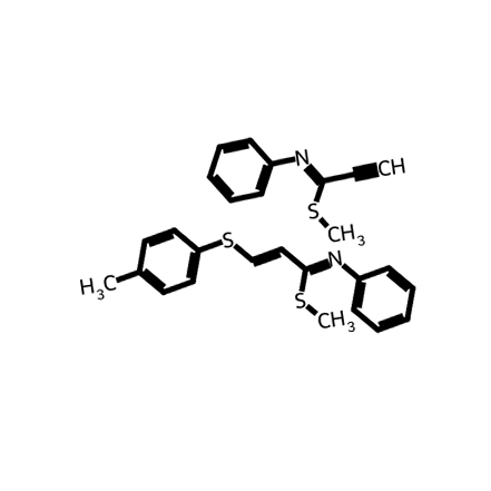 C#CC(=Nc1ccccc1)SC.CSC(C=CSc1ccc(C)cc1)=Nc1ccccc1